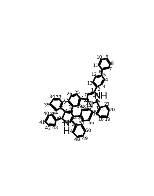 C1=C(c2ccc(-c3ccccc3)cc2)NC(c2ccccc2)N=C1c1cccc(C2=C(c3ccccc3)C(c3ccccc3)NC(c3ccccc3)=C2c2ccccc2)c1